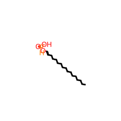 CCCCCCCCCCCCCCCC=CO[PH](=O)O